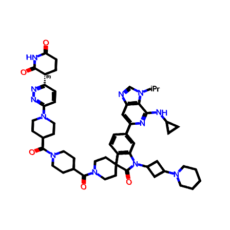 CC(C)n1cnc2cc(-c3ccc4c(c3)N(C3CC(N5CCCCC5)C3)C(=O)C43CCN(C(=O)C4CCN(C(=O)C5CCN(c6ccc([C@H]7CCC(=O)NC7=O)nn6)CC5)CC4)CC3)nc(NC3CC3)c21